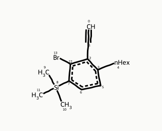 C#Cc1c(CCCCCC)ccc([Si](C)(C)C)c1Br